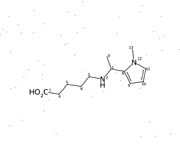 CC(NCCCCC(=O)O)c1cccn1C